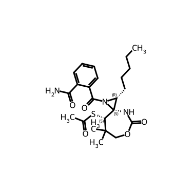 CCCCC[C@H]1N(C(=O)c2ccccc2C(N)=O)[C@@]12NC(=O)OCC(C)(C)[C@@H]2SC(C)=O